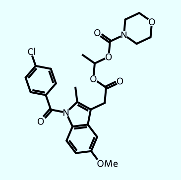 COc1ccc2c(c1)c(CC(=O)OC(C)OC(=O)N1CCOCC1)c(C)n2C(=O)c1ccc(Cl)cc1